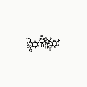 CCc1noc(=O)c2ccc(NC(=O)C(O)(CC(C)(C)c3cc(F)ccc3OC)C(F)(F)F)cc12